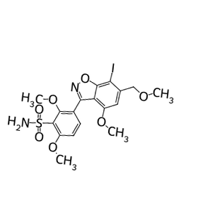 COCc1cc(OC)c2c(-c3ccc(OC)c(S(N)(=O)=O)c3OC)noc2c1I